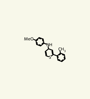 COc1ccc(NC2C=CSC(c3ccccc3C)=C2)cc1